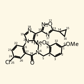 COc1ccc(CN2Cc3c(-c4noc(C5CC5)n4)ncn3-c3ccc(Cl)cc3C2=O)c(OC)c1